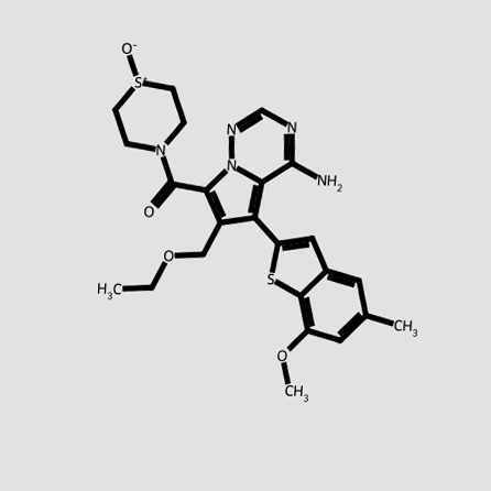 CCOCc1c(-c2cc3cc(C)cc(OC)c3s2)c2c(N)ncnn2c1C(=O)N1CC[S+]([O-])CC1